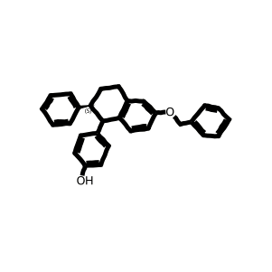 Oc1ccc(C2c3ccc(OCc4ccccc4)cc3CC[C@@H]2c2ccccc2)cc1